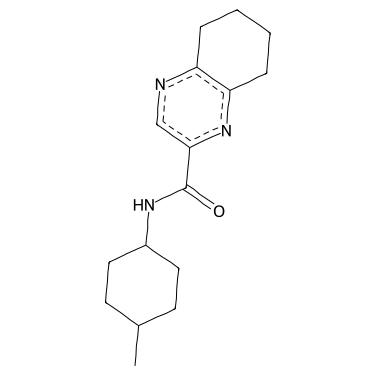 CC1CCC(NC(=O)c2cnc3c(n2)CCCC3)CC1